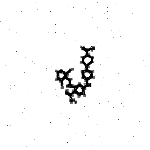 CCC(=O)N1CCN(c2ccc(Nc3cc(NCc4c(F)cccc4F)c(C(N)=O)nn3)cc2)CC1